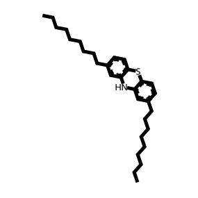 CCCCCCCCCc1ccc2c(c1)Nc1cc(CCCCCCCCC)ccc1S2